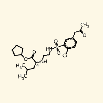 CC(=O)Cc1ccc(Cl)c(S(=O)(=O)NCCN[C@@H](CC(C)C)C(=O)OC2CCCC2)c1